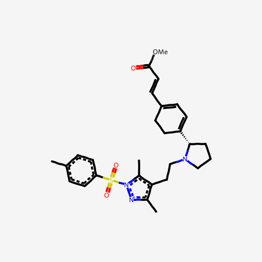 COC(=O)/C=C/C1=CC=C([C@@H]2CCCN2CCc2c(C)nn(S(=O)(=O)c3ccc(C)cc3)c2C)CC1